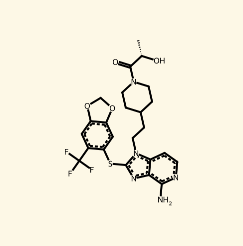 C[C@H](O)C(=O)N1CCC(CCn2c(Sc3cc4c(cc3C(F)(F)F)OCO4)nc3c(N)nccc32)CC1